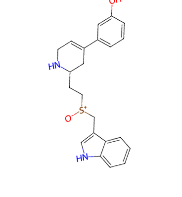 [O-][S+](CCC1CC(c2cccc(O)c2)=CCN1)Cc1c[nH]c2ccccc12